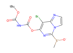 C[S+]([O-])c1nc(OC(=O)NC(=O)OC(C)(C)C)c(Br)c2nccn12